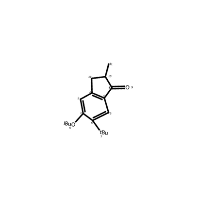 CC(C)COc1cc2c(cc1C(C)(C)C)C(=O)C(C)C2